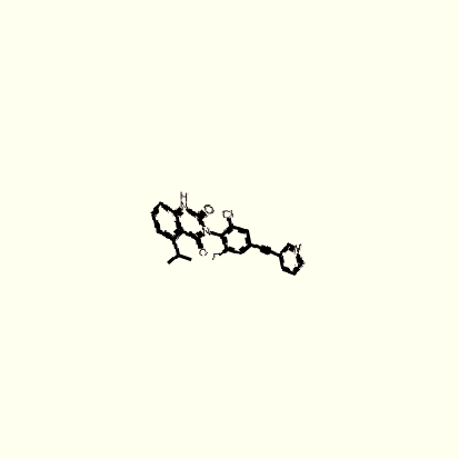 CC(C)c1cccc2[nH]c(=O)n(-c3c(F)cc(C#Cc4cccnc4)cc3Cl)c(=O)c12